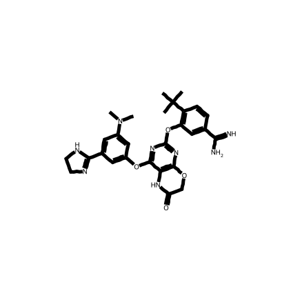 CN(C)c1cc(Oc2nc(Oc3cc(C(=N)N)ccc3C(C)(C)C)nc3c2NC(=O)CO3)cc(C2=NCCN2)c1